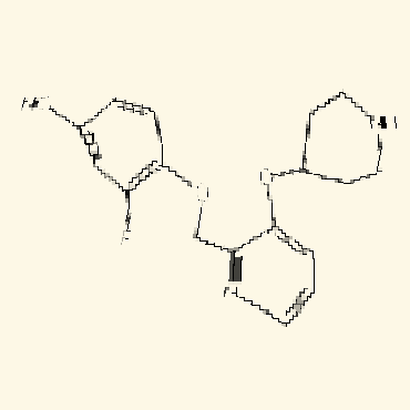 N#Cc1ccc(OCc2ncccc2OC2CCNCC2)c(F)c1